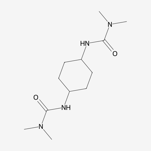 CN(C)C(=O)NC1CCC(NC(=O)N(C)C)CC1